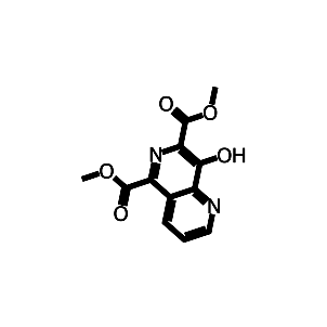 COC(=O)c1nc(C(=O)OC)c2cccnc2c1O